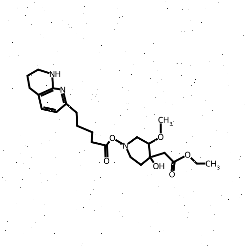 CCOC(=O)CC1(O)CCN(OC(=O)CCCCc2ccc3c(n2)NCCC3)CC1OC